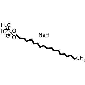 CCCCCCCCCCCCCCCCCCCOS(=O)(=O)C(C)O.[NaH]